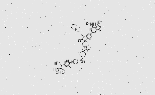 CCCC(C(=O)NC=O)c1cnc(N2CCC(C(=O)N3CCC(C)(C(=O)N4CCC5(CC4)C(=O)N([C@H]4C[C@@H](N6CCCCC6)C4)c4cc(-c6cc7ncn(C(C)C)c7c(NC7CC7)n6)ccc45)CC3)CC2)c(C)c1